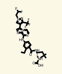 CCc1cc(Nc2nccn3c(-c4cn(CC(F)F)nc4C(F)(F)F)cnc23)ccc1C(=O)N[C@@H](CNC(=O)O)CC(C)(C)C